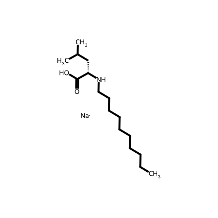 CCCCCCCCCCN[C@@H](CC(C)C)C(=O)O.[Na]